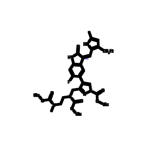 CCOC(=O)c1cc(C)[nH]c1/C=C1\C(=O)Nc2cc(F)c(-c3cn(C(=O)OC(C)(C)C)nc3CN(CCN(C)C(=O)OC(C)(C)C)C(=O)OC(C)(C)C)cc21